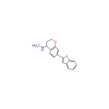 O=C(O)NC1CCOc2cc(-c3cc4ccccc4s3)ccc21